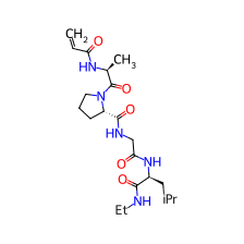 C=CC(=O)N[C@@H](C)C(=O)N1CCC[C@H]1C(=O)NCC(=O)N[C@@H](CC(C)C)C(=O)NCC